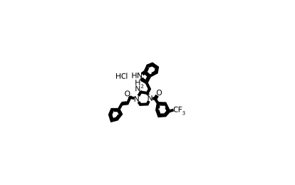 Cl.NC1C(Cc2c[nH]c3ccccc23)N(C(=O)c2cccc(C(F)(F)F)c2)CCN1C(=O)C=Cc1ccccc1